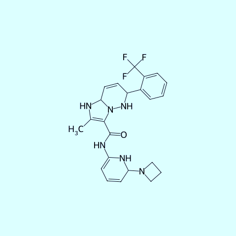 CC1=C(C(=O)NC2=CC=CC(N3CCC3)N2)N2NC(c3ccccc3C(F)(F)F)C=CC2N1